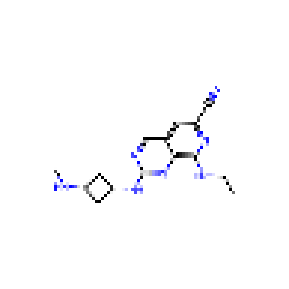 CCNc1nc(C#N)cc2cnc(N[C@H]3C[C@H](NC)C3)nc12